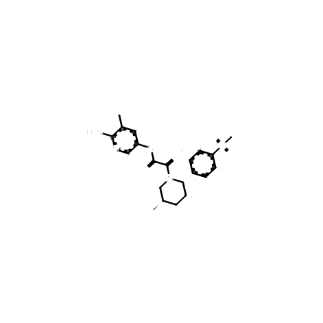 Cc1cc(NC(=O)C(=O)N2C[C@H](C)CC[C@H]2c2ccc(S(C)(=O)=O)cc2)cnc1N